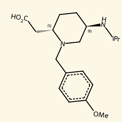 COc1ccc(CN2C[C@H](NC(C)C)CC[C@H]2CC(=O)O)cc1